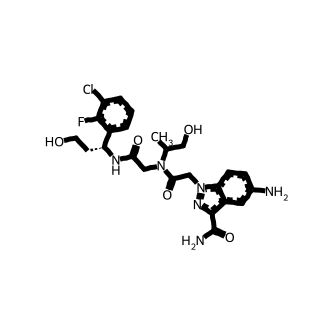 CC(CO)N(CC(=O)N[C@H](CCO)c1cccc(Cl)c1F)C(=O)Cn1nc(C(N)=O)c2cc(N)ccc21